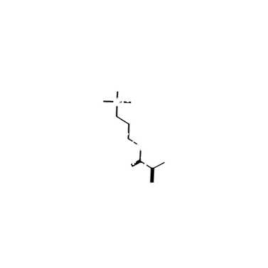 C=C(C)C(=O)OCCC[Si](C)(C)F